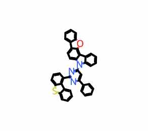 c1ccc(-c2cc(-n3c4ccccc4c4c5oc6ccccc6c5ccc43)nc(-c3cccc4sc5ccccc5c34)n2)cc1